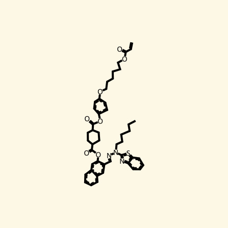 C=CC(=O)OCCCCCCOc1ccc(OC(=O)C2CCC(C(=O)Oc3cc4ccccc4cc3/C=N/N(CCCCCC)c3nc4ccccc4s3)CC2)cc1